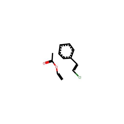 C=COC(C)=O.ClC=Cc1ccccc1